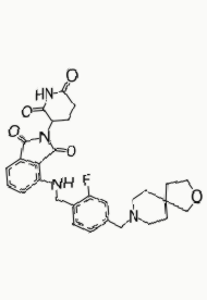 O=C1CCC(N2C(=O)c3cccc(NCc4ccc(CN5CCC6(CCOC6)CC5)cc4F)c3C2=O)C(=O)N1